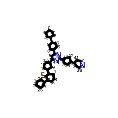 c1ccc(-c2ccc(-c3cc(-c4cccc(-c5cccc6c5sc5ccccc56)c4)nc(-c4ccc(-c5ccncc5)cc4)n3)cc2)cc1